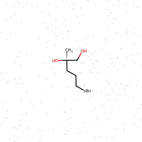 CCCCCCC[C@@](C)(O)CO